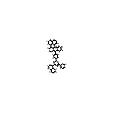 c1ccc(-c2nc(-c3ccc(-c4c5ccccc5c(-c5cccc6ccccc56)c5ccccc45)cc3)nc(-c3cccc4ccccc34)n2)cc1